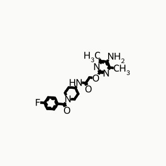 Cc1nc(OCC(=O)NC2CCN(C(=O)c3ccc(F)cc3)CC2)nc(C)c1N